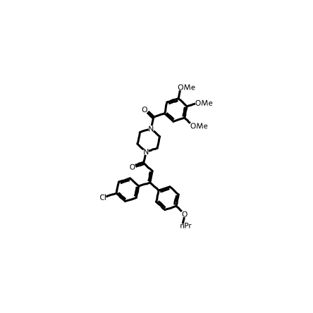 CCCOc1ccc(C(=CC(=O)N2CCN(C(=O)c3cc(OC)c(OC)c(OC)c3)CC2)c2ccc(Cl)cc2)cc1